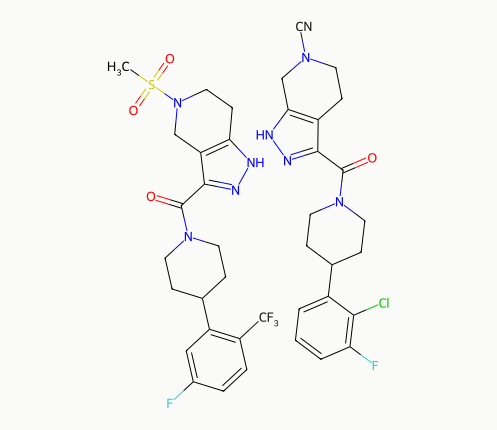 CS(=O)(=O)N1CCc2[nH]nc(C(=O)N3CCC(c4cc(F)ccc4C(F)(F)F)CC3)c2C1.N#CN1CCc2c(C(=O)N3CCC(c4cccc(F)c4Cl)CC3)n[nH]c2C1